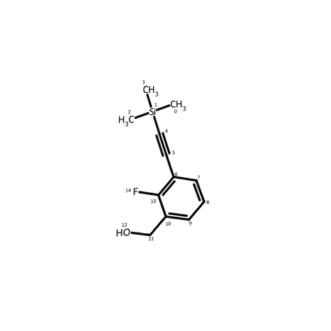 C[Si](C)(C)C#Cc1cccc(CO)c1F